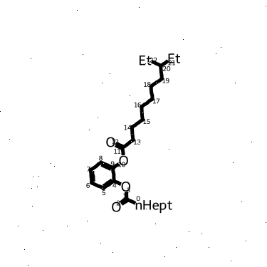 CCCCCCCC(=O)Oc1ccccc1OC(=O)CCCCCCCC(CC)CC